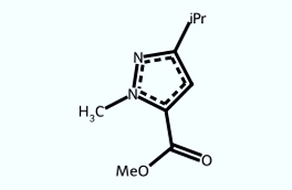 COC(=O)c1cc(C(C)C)nn1C